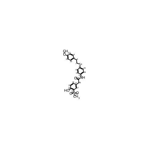 COc1ccc(CCSc2ccc(NC(=O)Cc3ccc(O)c(S(C)(=O)=O)c3)cc2)cc1